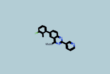 CNc1nc(-c2cccnc2)nc2ccc(-c3cccc(F)c3C)cc12